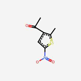 CC(=O)c1cc([N+](=O)[O-])sc1C